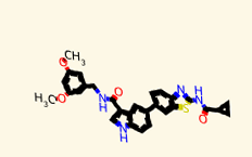 COc1cc(CNC(=O)c2c[nH]c3ccc(-c4ccc5nc(NC(=O)C6CC6)sc5c4)cc23)cc(OC)c1